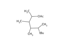 CC(=O)OC(C)C(C)C(C)C(C)C(C)(C)C